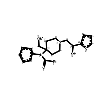 CCC(=O)N(c1ccccc1)C1(COC)CCN(CC(O)c2cccs2)CC1